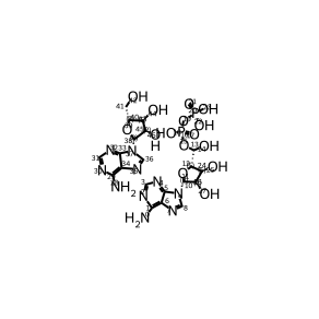 Nc1ncnc2c1ncn2[C@@H]1O[C@H](C(O)OP(=O)(O)OP(=O)(O)O)[C@@H](O)[C@H]1O.Nc1ncnc2c1ncn2[C@@H]1O[C@H](CO)[C@@H](O)[C@H]1O